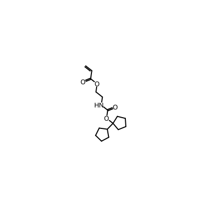 C=CC(=O)OCCNC(=O)OC1(C2CCCC2)CCCC1